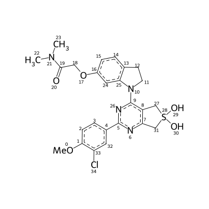 COc1ccc(-c2nc3c(c(N4CCc5ccc(OCC(=O)N(C)C)cc54)n2)CS(O)(O)C3)cc1Cl